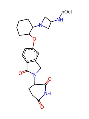 CCCCCCCCNC1CN(C2CCCCC2Oc2ccc3c(c2)CN(C2CCC(=O)NC2=O)C3=O)C1